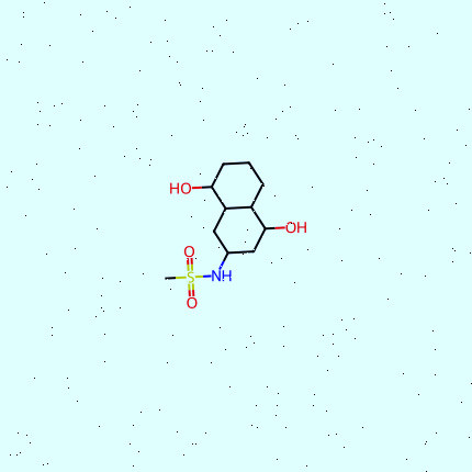 CS(=O)(=O)NC1CC(O)C2CCCC(O)C2C1